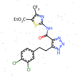 CCOC(=O)c1sc(NC(=O)c2nn[nH]c2CCc2ccc(Cl)c(Cl)c2)nc1C(F)(F)F